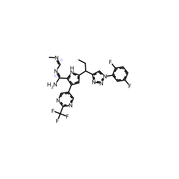 CCC(c1cn(-c2cc(F)ccc2F)nn1)c1cc(-c2cnc(C(F)(F)F)nc2)c(/C(N)=N\C=N/C)[nH]1